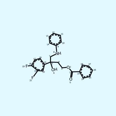 O=C(OCCC(O)(CNc1ccccc1)c1ccc(F)c(F)c1)c1ccccc1